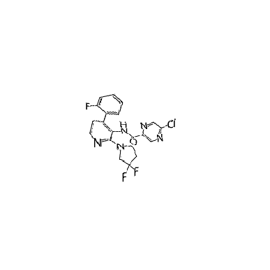 O=C(Nc1c(-c2ccccc2F)ccnc1N1CCC(F)(F)C1)c1cnc(Cl)cn1